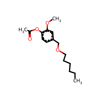 CCCCCCOCc1ccc(OC(C)=O)c(OC)c1